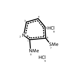 CNc1ncccc1SC.Cl.Cl